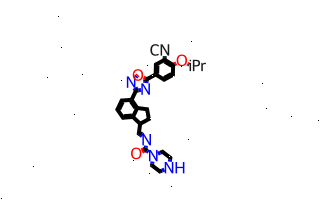 CC(C)Oc1ccc(-c2nc(-c3cccc4c3CCC4/C=N/C(=O)N3CCNCC3)no2)cc1C#N